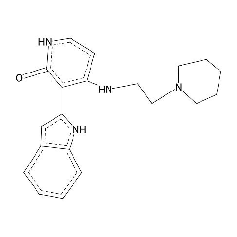 O=c1[nH]ccc(NCCN2CCCCC2)c1-c1cc2ccccc2[nH]1